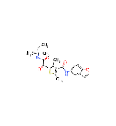 CCC(C)(C)NC(=O)C(=O)c1sc(C)c(C(=O)Nc2ccc3occc3c2)c1C